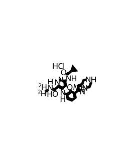 Cl.[2H]C([2H])([2H])NC(=O)c1nnc(NC(=O)C2CC2)cc1Nc1cccc(-c2cc3n(n2)CCNC3)c1OC